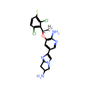 C[C@@H](Oc1cc(-c2cn3c(n2)CC(N)C3)cnc1N)c1c(Cl)ccc(F)c1Cl